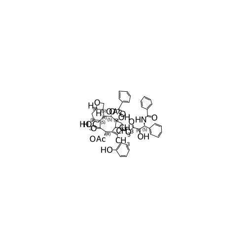 CC(=O)O[C@H]1C(=O)[C@@]2(C)[C@H]([C@H](OC(=O)c3ccccc3)[C@]3(O)C[C@H](OC(=O)[C@H](O)[C@@H](NC(=O)c4ccccc4)c4ccccc4)C(C)=C1C3(C)C)[C@]1(OC(C)=O)CO[C@@H]1C[C@@H]2O.Oc1ccccc1